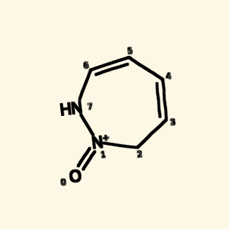 O=[N+]1CC=CC=CN1